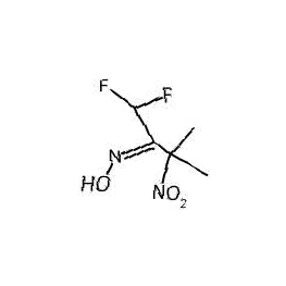 CC(C)(/C(=N\O)C(F)F)[N+](=O)[O-]